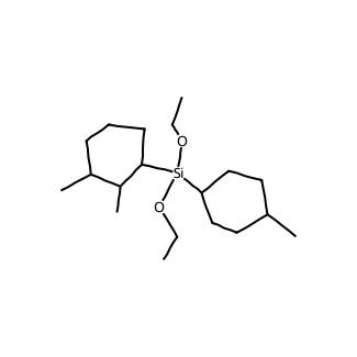 CCO[Si](OCC)(C1CCC(C)CC1)C1CCCC(C)C1C